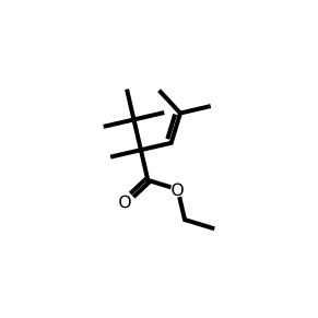 CCOC(=O)C(C)(C=C(C)C)C(C)(C)C